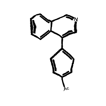 CC(=O)c1ccc(-c2cncc3ccccc23)cc1